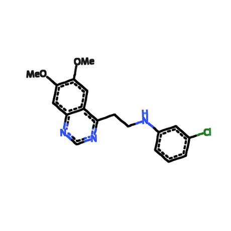 COc1cc2ncnc(CCNc3cccc(Cl)c3)c2cc1OC